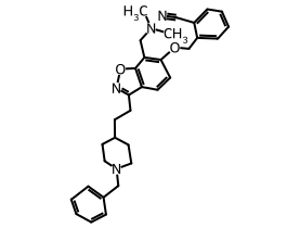 CN(C)Cc1c(OCc2ccccc2C#N)ccc2c(CCC3CCN(Cc4ccccc4)CC3)noc12